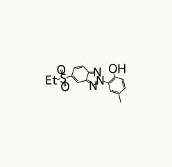 CCS(=O)(=O)c1ccc2nn(-c3cc(C)ccc3O)nc2c1